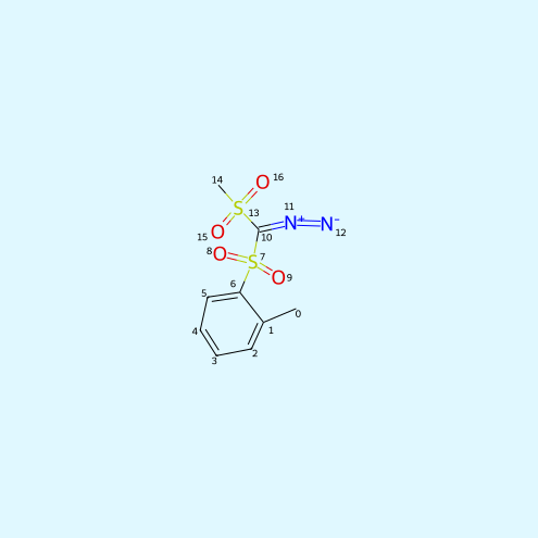 Cc1ccccc1S(=O)(=O)C(=[N+]=[N-])S(C)(=O)=O